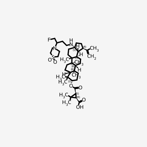 C=C(C)[C@@H]1CC[C@]2(NCCC(CF)N3CCS(=O)(=O)CC3)CC[C@]3(C)[C@H](CC[C@@H]4[C@@]5(C)CC[C@H](OC(=O)[C@H]6[C@@H](C(=O)O)C6(C)C)C(C)(C)[C@@H]5CC[C@]43C)[C@@H]12